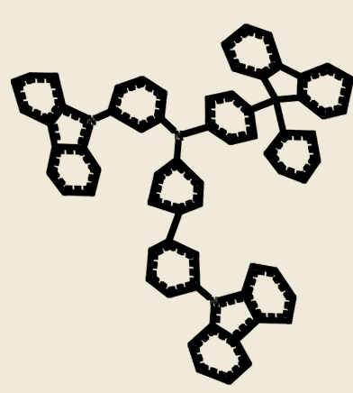 c1ccc(C2(c3ccc(N(c4ccc(-c5cccc(-n6c7ccccc7c7ccccc76)c5)cc4)c4cccc(-n5c6ccccc6c6ccccc65)c4)cc3)c3ccccc3-c3ccccc32)cc1